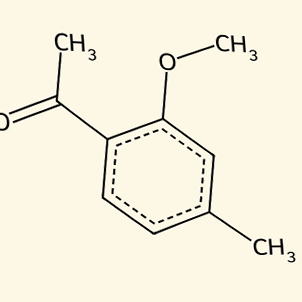 COc1cc(C)ccc1C(C)=O